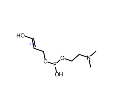 CN(C)CCOP(O)OC/C=C/O